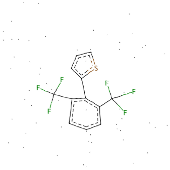 FC(F)(F)c1c[c]cc(C(F)(F)F)c1-c1cccs1